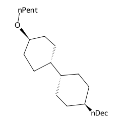 CCCCCCCCCC[C@H]1CC[C@H]([C@H]2CC[C@H](OCCCCC)CC2)CC1